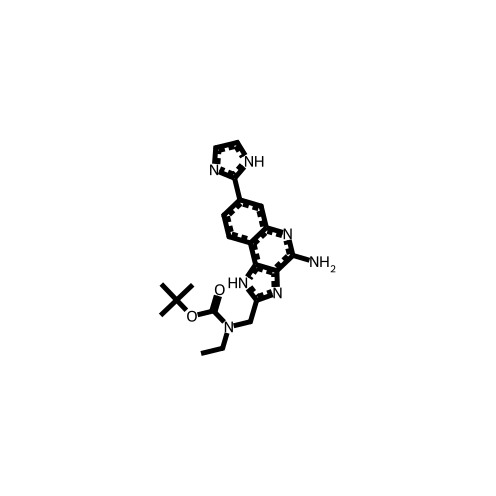 CCN(Cc1nc2c(N)nc3cc(-c4ncc[nH]4)ccc3c2[nH]1)C(=O)OC(C)(C)C